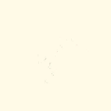 CCCCCCCOC(=O)[C@H](C)NP(=O)(OC[C@H]1O[C@@H](n2ccc(N)nc2=O)[C@](C)(O)[C@@H]1O)Oc1ccc(Cl)cc1